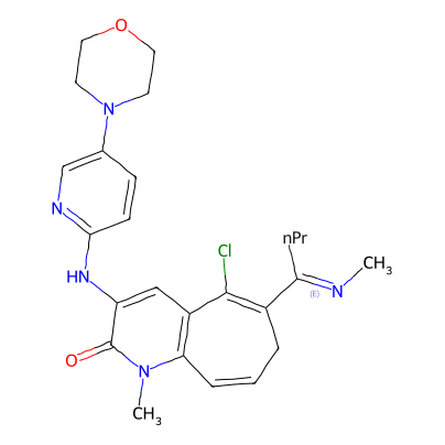 CCC/C(=N\C)C1=C(Cl)c2cc(Nc3ccc(N4CCOCC4)cn3)c(=O)n(C)c2C=CC1